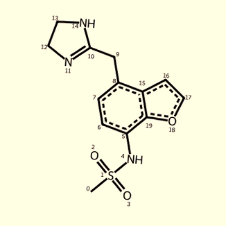 CS(=O)(=O)Nc1ccc(CC2=NCCN2)c2ccoc12